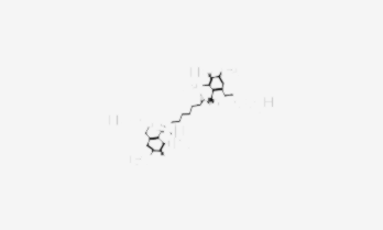 CC(C)(C)c1cc(CCC(=O)O)c(C(=O)NCCCCCCNC(=O)c2c(CCC(=O)O)cc(C(C)(C)C)c(O)c2C(C)(C)C)c(C(C)(C)C)c1O